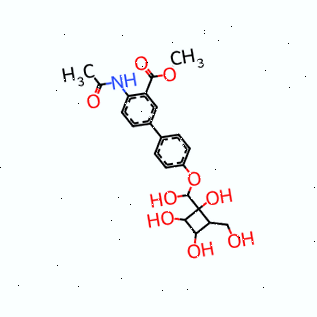 COC(=O)c1cc(-c2ccc(OC(O)C3(O)C(O)C(O)C3CO)cc2)ccc1NC(C)=O